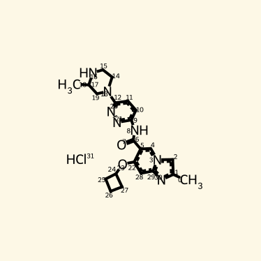 Cc1cn2cc(C(=O)Nc3ccc(N4CCNC(C)C4)nn3)c(OC3CCC3)cc2n1.Cl